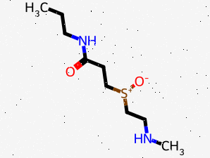 CCCNC(=O)CC[S+]([O-])CCNC